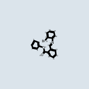 O=C(Oc1ccccc1)c1ccccc1C=Nc1ccccc1Br